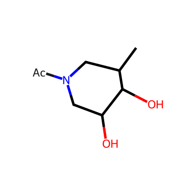 CC(=O)N1CC(C)C(O)C(O)C1